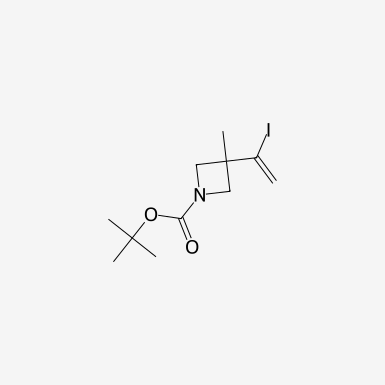 C=C(I)C1(C)CN(C(=O)OC(C)(C)C)C1